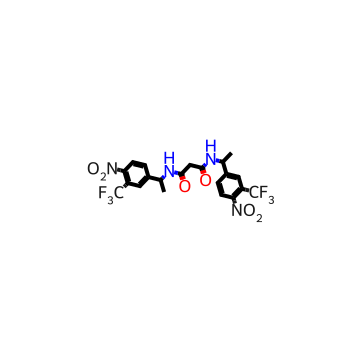 CC(NC(=O)CC(=O)NC(C)c1ccc([N+](=O)[O-])c(C(F)(F)F)c1)c1ccc([N+](=O)[O-])c(C(F)(F)F)c1